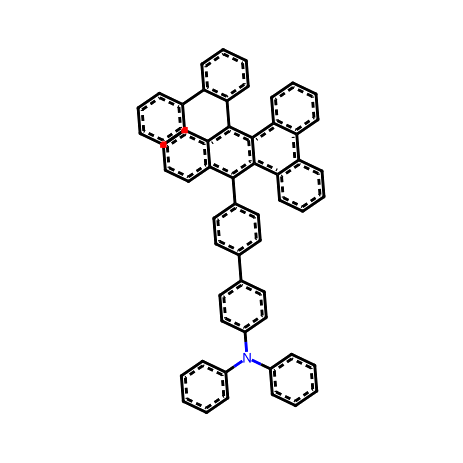 c1ccc(-c2ccccc2-c2c3ccccc3c(-c3ccc(-c4ccc(N(c5ccccc5)c5ccccc5)cc4)cc3)c3c4ccccc4c4ccccc4c23)cc1